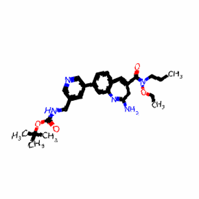 CCCN(OCC)C(=O)C1=Cc2ccc(-c3cncc(CNC(=O)OC(C)(C)C)c3)cc2N=C(N)C1